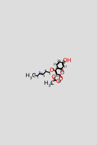 CC/C=C/CCOc1c(OC(C)=O)c(=O)oc2cc(O)ccc12